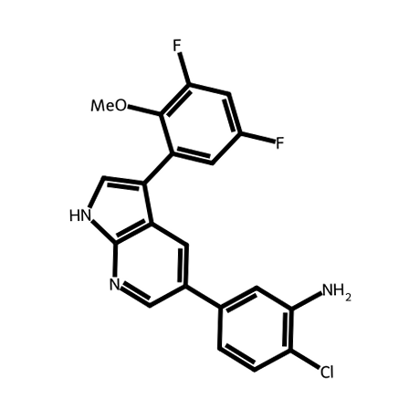 COc1c(F)cc(F)cc1-c1c[nH]c2ncc(-c3ccc(Cl)c(N)c3)cc12